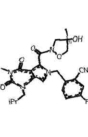 CC(C)Cn1c(=O)n(C)c(=O)c2c(C(=O)N3C[C@](C)(O)CO3)n(Cc3ccc(F)cc3C#N)cc21